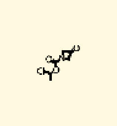 CC(Cl)OC(=O)N1CC(=O)C1